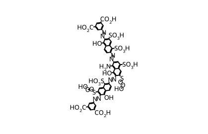 Nc1c(N=Nc2ccc3c(O)c(N=Nc4cc(C(=O)O)cc(C(=O)O)c4)c(S(=O)(=O)O)cc3c2S(=O)(=O)O)cc(S(=O)(=O)O)c2cc(SOOO)c(N=Nc3ccc4c(O)c(N=Nc5cc(C(=O)O)cc(C(=O)O)c5)c(SOOO)cc4c3S(=O)(=O)O)c(O)c12